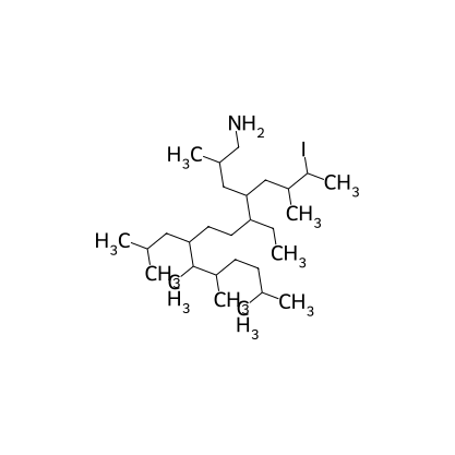 CCC(CCC(CC(C)C)C(C)C(C)CCC(C)C)C(CC(C)CN)CC(C)C(C)I